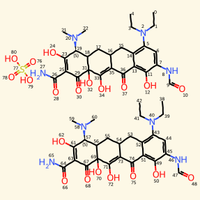 CCN(CC)c1cc(NC=O)c(O)c2c1CC1CC3[C@H](N(C)C)C(O)=C(C(N)=O)C(=O)C3(O)C(O)=C1C2=O.CCN(CC)c1cc(NC=O)c(O)c2c1CC1CC3[C@H](N(C)C)C(O)=C(C(N)=O)C(=O)C3(O)C(O)=C1C2=O.O=S(=O)(O)O